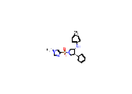 Cn1cnc(S(=O)(=O)N2C[C@H](Nc3ccc(C(F)(F)F)cc3)[C@@H](c3ccccc3)C2)c1